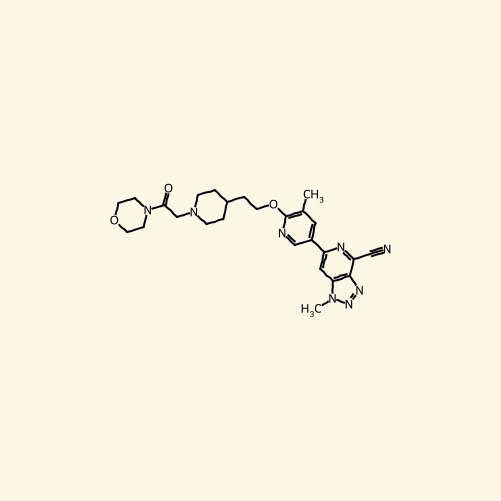 Cc1cc(-c2cc3c(nnn3C)c(C#N)n2)cnc1OCCC1CCN(CC(=O)N2CCOCC2)CC1